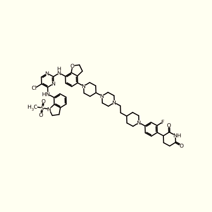 CS(=O)(=O)N1CCc2cccc(Nc3nc(Nc4ccc(N5CCC(N6CCN(CCC7CCN(c8ccc(C9CCC(=O)NC9=O)c(F)c8)CC7)CC6)CC5)c5c4OCC5)ncc3Cl)c21